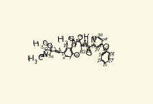 COC1(C#Cc2ccc3c(c2)N(C)C(=O)C(NC(=O)c2cc(Oc4ccccc4)ccn2)CO3)CN(C)C1